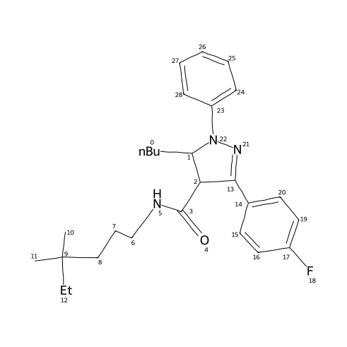 CCCCC1C(C(=O)NCCCC(C)(C)CC)C(c2ccc(F)cc2)=NN1c1ccccc1